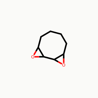 C1CCC2OC2C2OC2C1